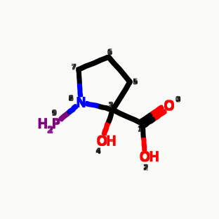 O=C(O)C1(O)CCCN1P